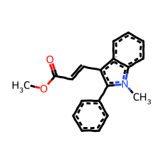 COC(=O)/C=C/c1c(-c2ccccc2)n(C)c2ccccc12